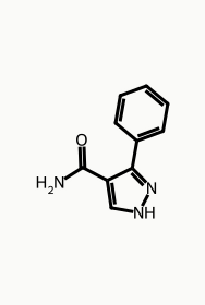 NC(=O)c1c[nH]nc1-c1ccccc1